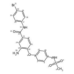 CS(=O)(=O)Nc1ccc(Oc2ccc(C(=O)Nc3ccc(Br)cc3)cc2N)cc1